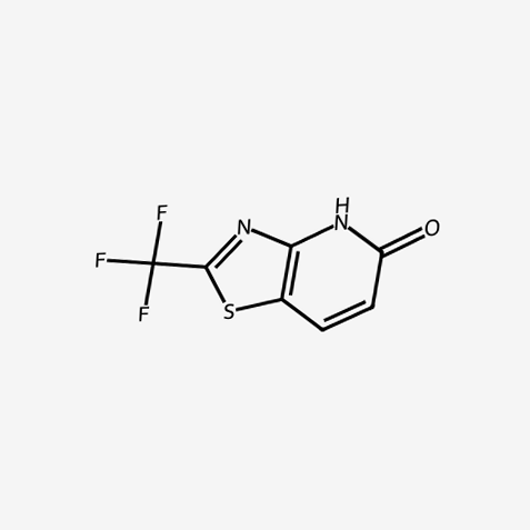 O=c1ccc2sc(C(F)(F)F)nc2[nH]1